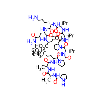 CC(=O)O.CC(C)[C@H](NC(=O)[C@@H](NC(=O)[C@@H]1CCCN1C(=O)[C@@H](NC(=O)[C@@H]1CCCN1C(=O)[C@H](CCC(=O)O)NC(=O)[C@H](C)NC(=O)[C@H](C)NC(=O)[C@@H]1CCCN1)C(C)C)C(C)C)C(=O)N[C@@H](CCCCN)C(=O)N[C@@H](CCC(N)=O)C(=O)N[C@@H](CC(=O)O)C(=O)O